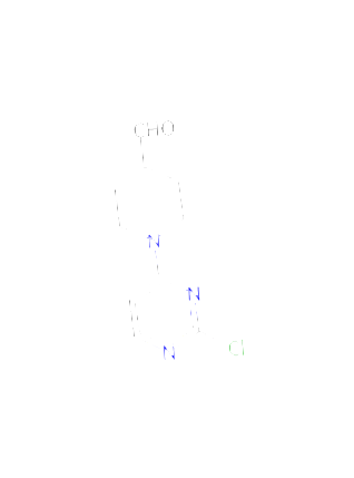 O=CC1CCN(c2ccnc(Cl)n2)CC1